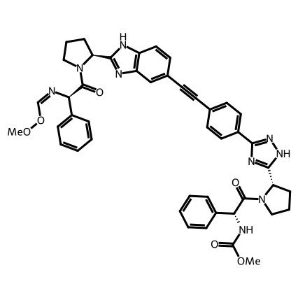 COO/C=N\[C@@H](C(=O)N1CCC[C@H]1c1nc2cc(C#Cc3ccc(-c4n[nH]c([C@@H]5CCCN5C(=O)[C@H](NC(=O)OC)c5ccccc5)n4)cc3)ccc2[nH]1)c1ccccc1